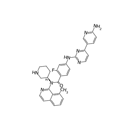 Cc1cccc2ccnc(N(C(=O)c3ccc(Nc4nccc(-c5ccc(N)nc5)n4)cc3F)[C@@H]3CCCNC3)c12